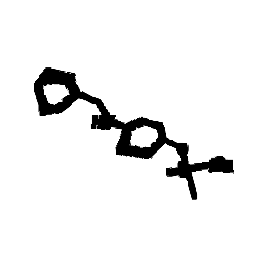 CC(C)(C)[Si](C)(C)Oc1ccc(NCc2cccnc2)cc1